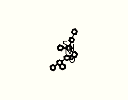 c1ccc(-c2ccc(-c3nc(-c4cccc5oc6cc(-c7ccc(-c8ccccc8)c8ccccc78)ccc6c45)nc4c3sc3ccccc34)cc2)cc1